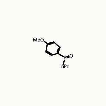 CCC[P](=O)c1ccc(OC)cc1